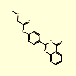 COCC(=O)Oc1ccc(-c2nc3ccccc3c(=O)o2)cc1